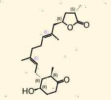 C/C(=C\C[C@H]1[C@H](O)CCC(=O)[C@@H]1C)CC/C=C(\C)C[C@H]1C[C@H](C)C(=O)O1